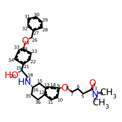 CN(C)C(=O)CCCOc1ccc2c(c1)C[C@@H](NC[C@@H](O)c1ccc(OCc3ccccc3)cc1)CC2